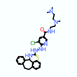 CN(C)CCN(C)CCNC(=O)c1cnc(NNC(=S)NC2c3ccccc3CCc3ccccc32)c(Cl)c1